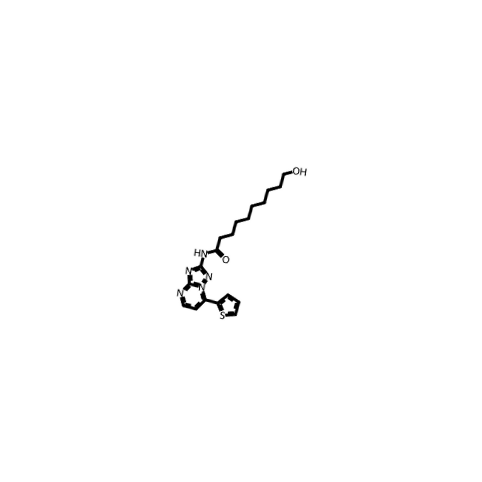 O=C(CCCCCCCCCO)Nc1nc2nccc(-c3cccs3)n2n1